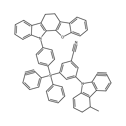 CC1CC=Cc2c1c1ccc#cc1n2-c1cc(C#N)cc([Si](c2c#cccc2)(c2ccccc2)c2ccc(-n3c4c(c5ccccc53)CCc3c-4oc4ccccc34)cc2)c1